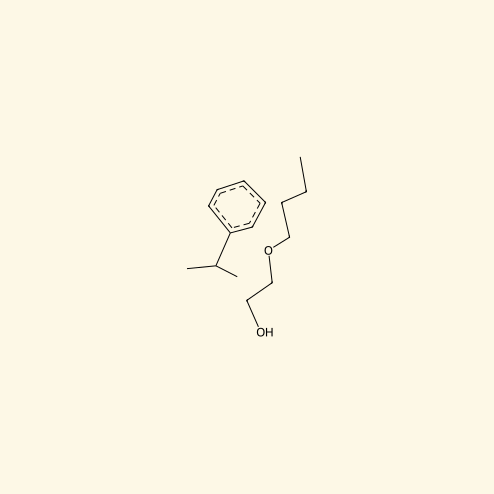 CC(C)c1ccccc1.CCCCOCCO